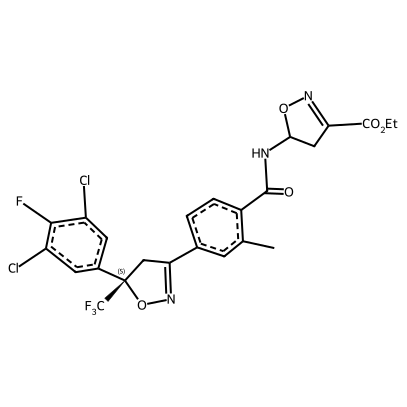 CCOC(=O)C1=NOC(NC(=O)c2ccc(C3=NO[C@@](c4cc(Cl)c(F)c(Cl)c4)(C(F)(F)F)C3)cc2C)C1